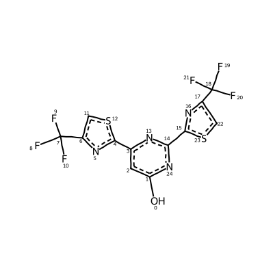 Oc1cc(-c2nc(C(F)(F)F)cs2)nc(-c2nc(C(F)(F)F)cs2)n1